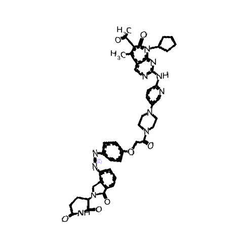 CC(=O)c1c(C)c2cnc(Nc3ccc(N4CCN(C(=O)COc5ccc(/N=N\c6cccc7c6CN(C6CCC(=O)NC6=O)C7=O)cc5)CC4)cn3)nc2n(C2CCCC2)c1=O